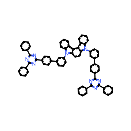 c1ccc(-c2nc(-c3ccccc3)nc(-c3ccc(-c4cccc(-n5c6ccccc6c6c7c8ccccc8n(-c8cccc(-c9ccc(-c%10nc(-c%11ccccc%11)nc(-c%11ccccc%11)n%10)cc9)c8)c7ccc65)c4)cc3)n2)cc1